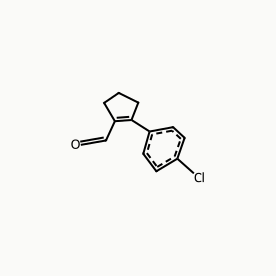 O=CC1=C(c2ccc(Cl)cc2)CCC1